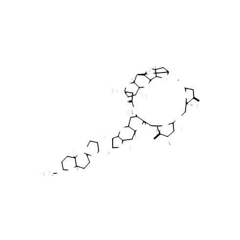 C=C1C[C@@H]2CC[C@@]34C[C@H]5OC6C(O3)[C@H]3O[C@H](CC[C@@H]3O[C@H]6C5O4)CC(=O)O[C@@H]3CC4OC5C[C@H](C[C@@H]6O[C@@]7(CC[C@@H]6O)C[C@H](C)[C@@H]6O[C@H](CN)CC[C@@H]6O7)O[C@@H]5C[C@@H]4O[C@H]3C[C@H]3O[C@@H](CC[C@@H]1O2)C[C@@H](C)C3=C